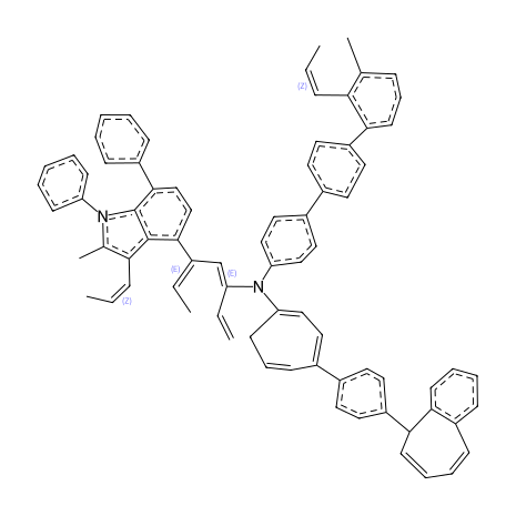 C=C/C(=C\C(=C/C)c1ccc(-c2ccccc2)c2c1c(/C=C\C)c(C)n2-c1ccccc1)N(C1=CC=C(c2ccc(C3C=CC=Cc4ccccc43)cc2)C=CC1)c1ccc(-c2ccc(-c3cccc(C)c3/C=C\C)cc2)cc1